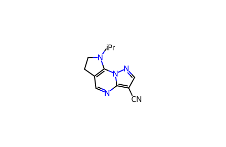 CC(C)N1CCc2cnc3c(C#N)cnn3c21